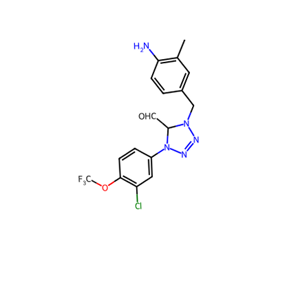 Cc1cc(CN2N=NN(c3ccc(OC(F)(F)F)c(Cl)c3)C2C=O)ccc1N